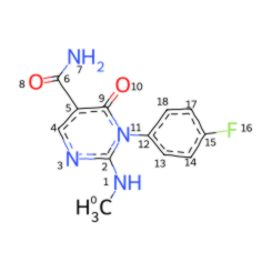 CNc1ncc(C(N)=O)c(=O)n1-c1ccc(F)cc1